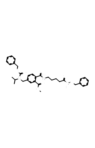 COC(=O)c1cc(CN(C(=O)OCc2ccccc2)C(C)C)ccc1C(=O)NCCCCC(=O)NOCc1ccccc1